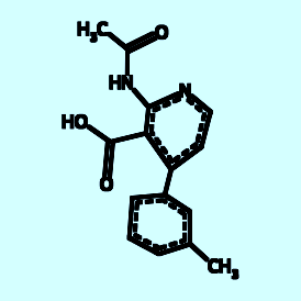 CC(=O)Nc1nccc(-c2cccc(C)c2)c1C(=O)O